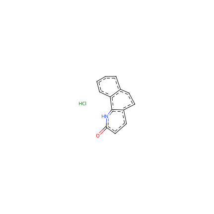 Cl.O=c1ccc2ccc3ccccc3c2[nH]1